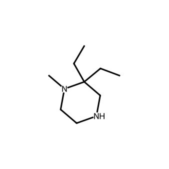 CCC1(CC)CNCCN1C